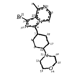 Cc1nccn2c(C3CCC(N4CCOCC4)CC3)nc(Br)c12